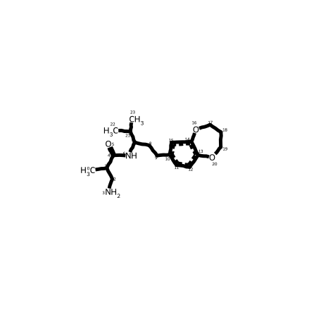 CC(CN)C(=O)NC(CCc1ccc2c(c1)OCCCO2)C(C)C